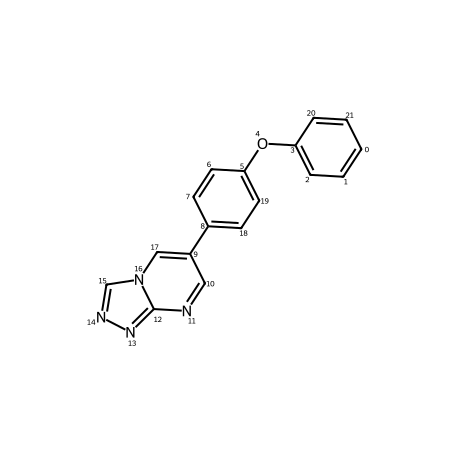 c1ccc(Oc2ccc(-c3cnc4nncn4c3)cc2)cc1